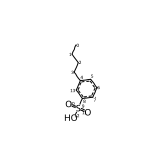 CCCCc1cc[c]c(S(=O)(=O)O)c1